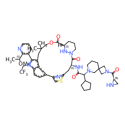 CO[C@@H](C)c1ncccc1-c1c2c3cc(ccc3n1CC(F)(F)F)-c1csc(n1)C[C@H](NC(=O)C(C1CCCC1)N1CCCC3(CN(C(=O)[C@H]4CN4)C3)C1)C(=O)N1CCC[C@H](N1)C(=O)OCC(C)(C)C2